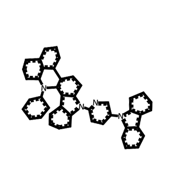 c1ccc(N2c3cccc4cccc(c34)-c3ccc4c(c32)c2ccccc2n4-c2ccc(-n3c4ccccc4c4ccccc43)cn2)cc1